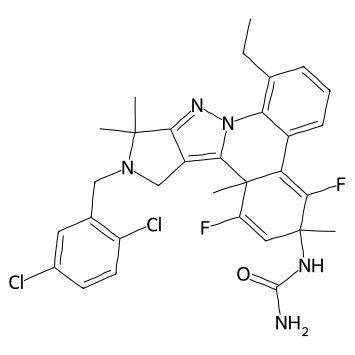 CCc1cccc2c1-n1nc3c(c1C1(C)C(F)=CC(C)(NC(N)=O)C(F)=C21)CN(Cc1cc(Cl)ccc1Cl)C3(C)C